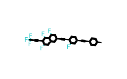 Cc1ccc(C#Cc2ccc(C#Cc3cc(F)c4c(F)c(C#CC(F)(F)F)c(F)cc4c3)c(F)c2)cc1